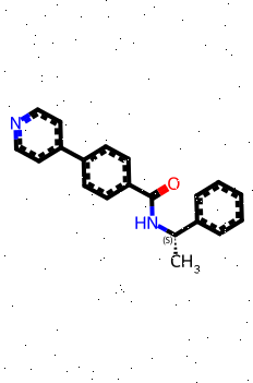 C[C@H](NC(=O)c1ccc(-c2ccncc2)cc1)c1ccccc1